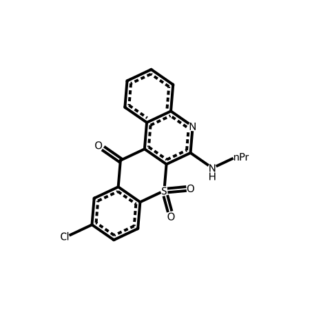 CCCNc1nc2ccccc2c2c1S(=O)(=O)c1ccc(Cl)cc1C2=O